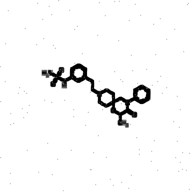 CC1OC2(CCN(CCc3cccc(NS(N)(=O)=O)c3)CC2)CN(c2ccccc2)C1=O